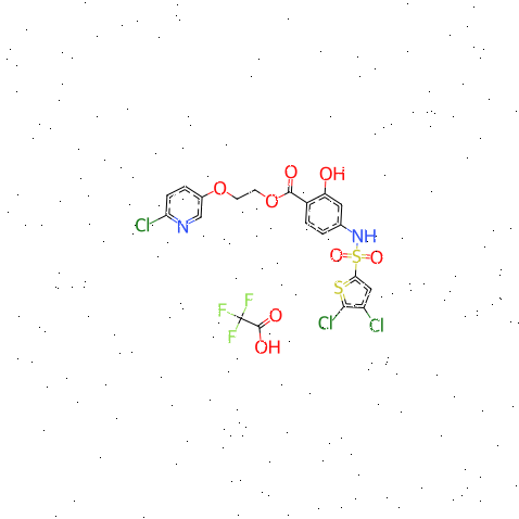 O=C(O)C(F)(F)F.O=C(OCCOc1ccc(Cl)nc1)c1ccc(NS(=O)(=O)c2cc(Cl)c(Cl)s2)cc1O